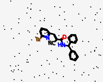 N#C/C(=C\c1cccc(Br)n1)C(=O)NC(c1ccccc1)c1ccccc1